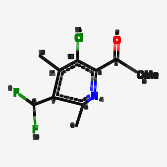 COC(=O)c1nc(C)c(C(F)F)c(C)c1Cl